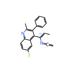 C=C=N/C(=C\C)c1c(-c2ccccc2)c(C)nc2ccc(F)cc12